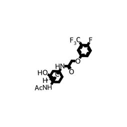 CC(=O)NC12CCC(NC(=O)COc3ccc(F)c(C(F)(F)F)c3)(CC1)C[C@@H]2O